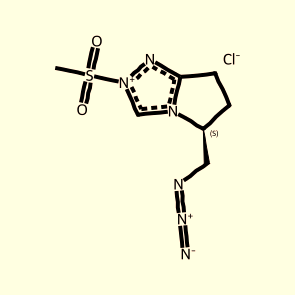 CS(=O)(=O)[n+]1cn2c(n1)CC[C@H]2CN=[N+]=[N-].[Cl-]